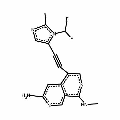 CNc1ncc(C#Cc2cnc(C)n2C(F)F)c2cc(N)ncc12